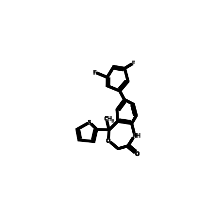 CC1(c2cccs2)OCC(=O)Nc2ccc(-c3cc(F)cc(F)c3)cc21